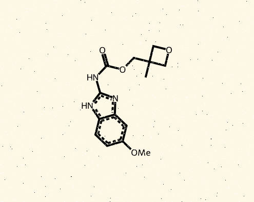 COc1ccc2[nH]c(NC(=O)OCC3(C)COC3)nc2c1